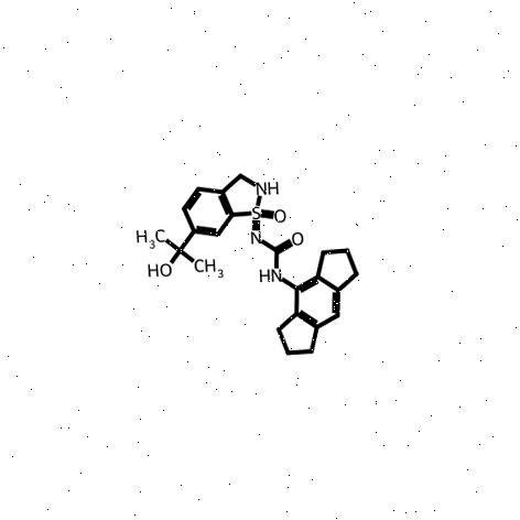 CC(C)(O)c1ccc2c(c1)S(=O)(=NC(=O)Nc1c3c(cc4c1CCC4)CCC3)NC2